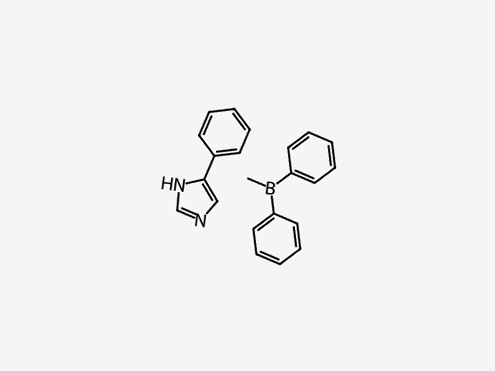 CB(c1ccccc1)c1ccccc1.c1ccc(-c2cnc[nH]2)cc1